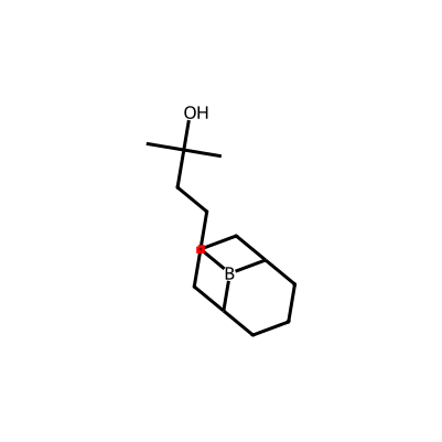 CC(C)(O)CCCB1C2CCCC1CCC2